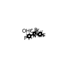 O=Cc1c(-c2ccc(F)cc2)nn(-c2ccc(F)cc2)c1Br